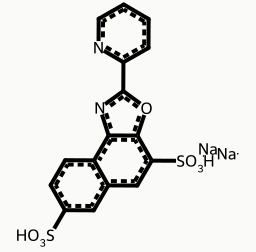 O=S(=O)(O)c1ccc2c(c1)cc(S(=O)(=O)O)c1oc(-c3ccccn3)nc12.[Na].[Na]